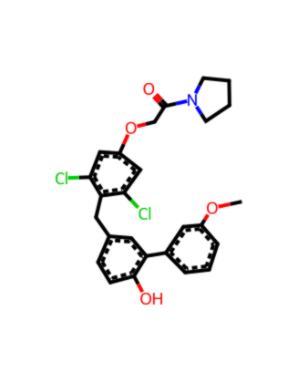 COc1cccc(-c2cc(Cc3c(Cl)cc(OCC(=O)N4CCCC4)cc3Cl)ccc2O)c1